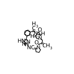 C[C@@H](CN1C[C@@H]2C[C@H]1C(=O)N2[C@@H](C)c1cccc(-c2nnn[nH]2)c1)C(=O)N1CCC[C@H]1C#N